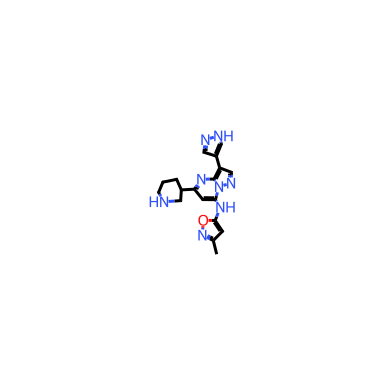 Cc1cc(Nc2cc(C3CCCNC3)nc3c(-c4cn[nH]c4)cnn23)on1